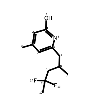 Cc1cc(O)nc(CC(C)CC(C)(F)F)c1